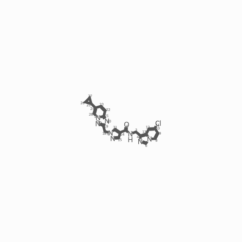 O=C(NCc1ncn2ccc(Cl)cc12)c1cnn(Cc2nc3ccc(C4CC4)cn3n2)c1